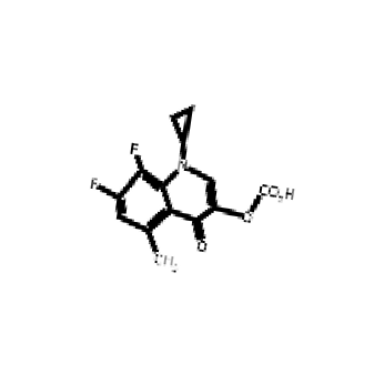 Cc1cc(F)c(F)c2c1c(=O)c(OC(=O)O)cn2C1CC1